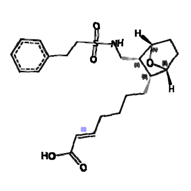 O=C(O)/C=C/CCCC[C@@H]1[C@H](CNS(=O)(=O)CCc2ccccc2)[C@@H]2CC[C@H]1O2